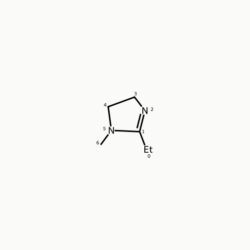 CCC1=NCCN1C